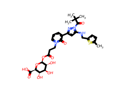 Cc1ccc(CNc2cc(-c3cccn(CCC(=O)O[C@@H]4O[C@H](C(=O)O)[C@@H](O)[C@H](O)[C@H]4O)c3=O)nn2C(=O)C(C)(C)C)s1